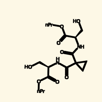 CCCOC(=O)[C@@H](CO)NC(=O)C1(C(=O)N[C@H](CO)C(=O)OCCC)CC1